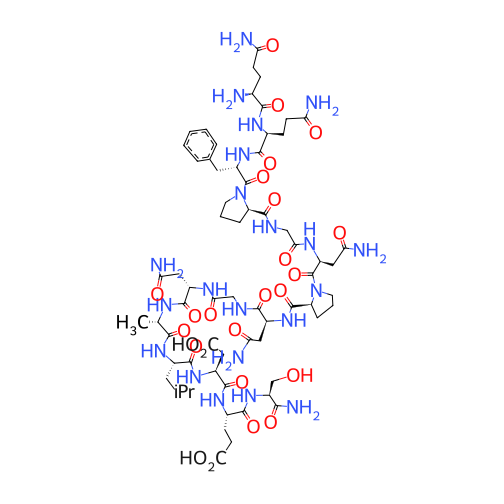 CC(C)C[C@H](NC(=O)[C@H](C)NC(=O)[C@H](CC(N)=O)NC(=O)CNC(=O)[C@H](CC(N)=O)NC(=O)[C@@H]1CCCN1C(=O)[C@H](CC(N)=O)NC(=O)CNC(=O)[C@H]1CCCN1C(=O)[C@H](Cc1ccccc1)NC(=O)[C@H](CCC(N)=O)NC(=O)[C@@H](N)CCC(N)=O)C(=O)N[C@@H](CC(=O)O)C(=O)N[C@@H](CCC(=O)O)C(=O)N[C@@H](CO)C(N)=O